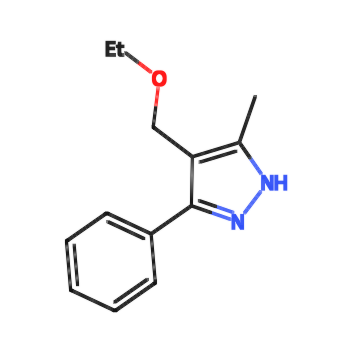 CCOCc1c(-c2ccccc2)n[nH]c1C